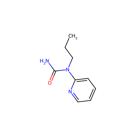 CCCN(C(N)=O)c1ccccn1